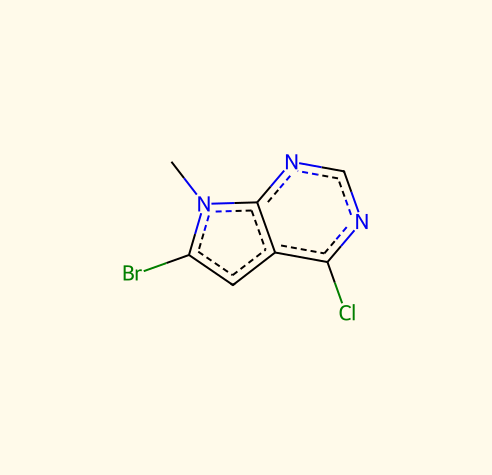 Cn1c(Br)cc2c(Cl)ncnc21